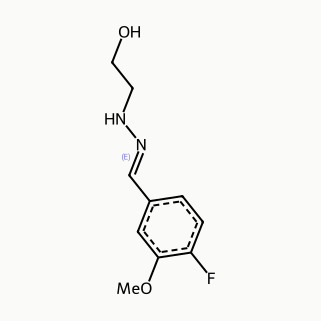 COc1cc(/C=N/NCCO)ccc1F